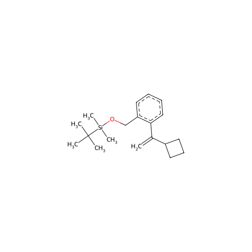 C=C(c1ccccc1CO[Si](C)(C)C(C)(C)C)C1CCC1